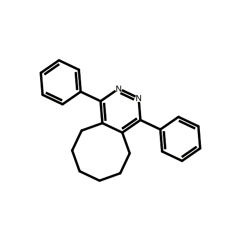 c1ccc(-c2nnc(-c3ccccc3)c3c2CCCCCC3)cc1